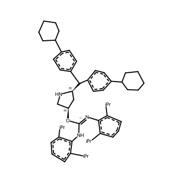 CC(C)c1cccc(C(C)C)c1/N=C(\Nc1c(C(C)C)cccc1C(C)C)O[C@H]1CN[C@@H](C(c2ccc(C3CCCCC3)cc2)c2ccc(C3CCCCC3)cc2)C1